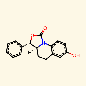 O=C1O[C@@H](c2ccccc2)[C@@H]2CCc3cc(O)ccc3N12